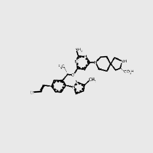 CCC=Cc1ccc(-n2ccc(C)n2)c([C@@H](Oc2cc(N3CCC4(CC3)CN[C@H](C(=O)O)C4)nc(N)n2)C(F)(F)F)c1